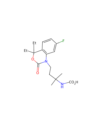 CCC1(CC)OC(=O)N(CCC(C)(C)NC(=O)O)c2cc(F)ccc21